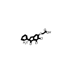 C[C@]1(c2ccccc2)Cc2cc(OCC(=O)O)c(Cl)c(Cl)c2C1=O